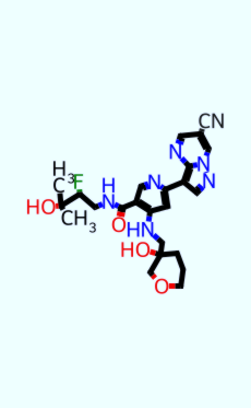 CC(C)(O)C(F)CNC(=O)c1cnc(-c2cnn3cc(C#N)cnc23)cc1NCC1(O)CCCOC1